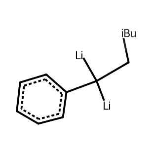 [Li][C]([Li])(CC(C)CC)c1ccccc1